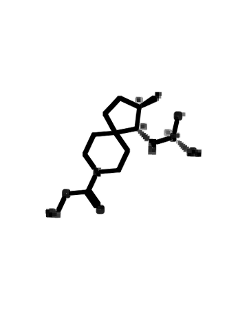 CC(C)(C)OC(=O)N1CCC2(CC[C@@H](F)[C@@H]2N[S@+]([O-])C(C)(C)C)CC1